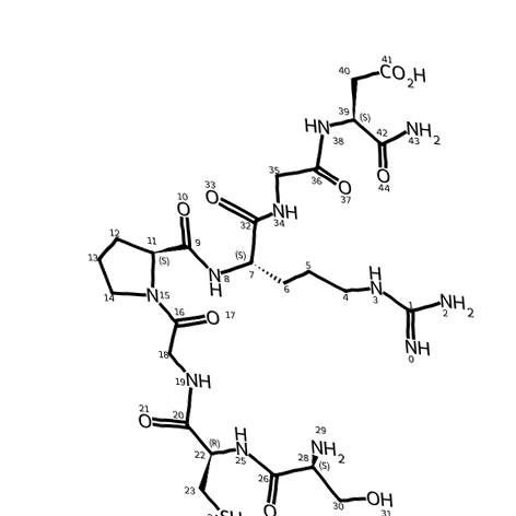 N=C(N)NCCC[C@H](NC(=O)[C@@H]1CCCN1C(=O)CNC(=O)[C@H](CS)NC(=O)[C@@H](N)CO)C(=O)NCC(=O)N[C@@H](CC(=O)O)C(N)=O